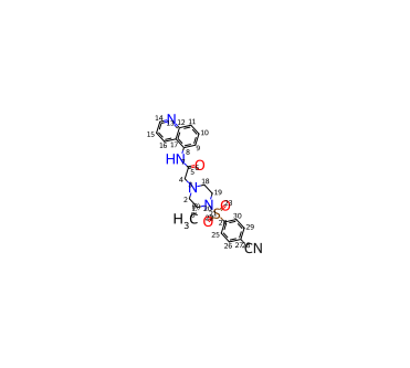 C[C@@H]1CN(CC(=O)Nc2cccc3ncccc23)CCN1S(=O)(=O)c1ccc(C#N)cc1